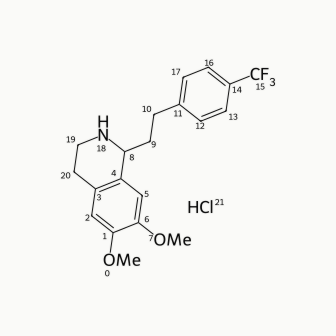 COc1cc2c(cc1OC)C(CCc1ccc(C(F)(F)F)cc1)NCC2.Cl